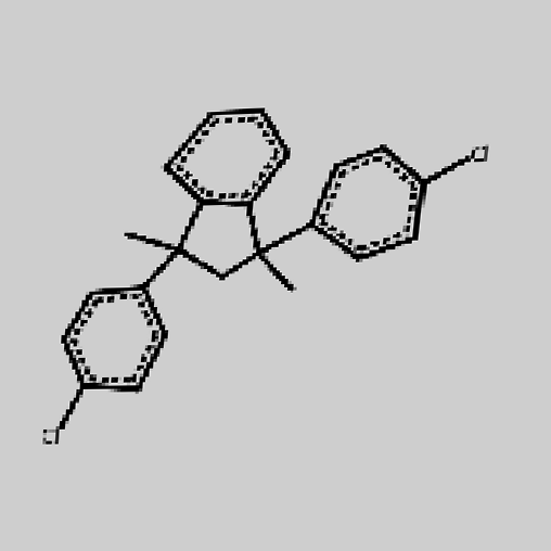 CC1(c2ccc(Cl)cc2)CC(C)(c2ccc(Cl)cc2)c2ccccc21